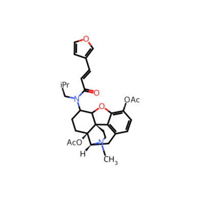 CC(=O)Oc1ccc2c3c1OC1C(N(CC(C)C)C(=O)/C=C/c4ccoc4)CC[C@@]4(OC(C)=O)[C@@H](C2)N(C)CC[C@]314